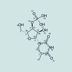 Cc1cn([C@@H]2O[C@H](CO)[C@@H](OP(=O)(O)O)[C@H]2O)c(=O)[nH]c1=O